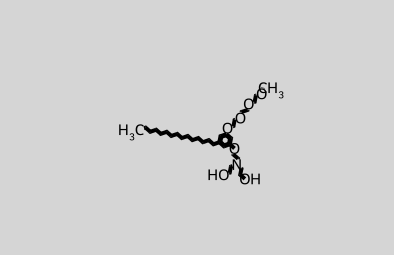 CCCCCCCCCCCCCCCc1cc(OCCOCCOCCOC)cc(OCCN(CCO)CCO)c1